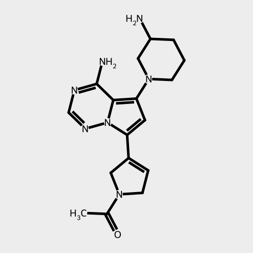 CC(=O)N1CC=C(c2cc(N3CCCC(N)C3)c3c(N)ncnn23)C1